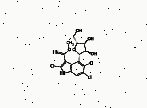 COC(=N)c1c(Cl)[nH]c2cc(Cl)c(Cl)c([C@@H]3O[C@H](CO)[C@@H](O)[C@H]3O)c12